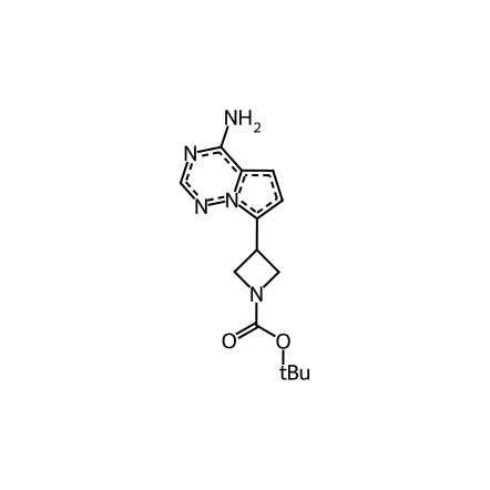 CC(C)(C)OC(=O)N1CC(c2ccc3c(N)ncnn23)C1